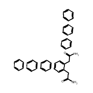 NC(=O)Cc1ccccc1CC(N)=O.c1ccccc1.c1ccccc1.c1ccccc1.c1ccccc1.c1ccccc1.c1ccccc1